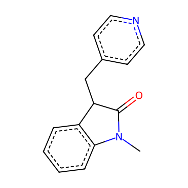 CN1C(=O)C(Cc2ccncc2)c2ccccc21